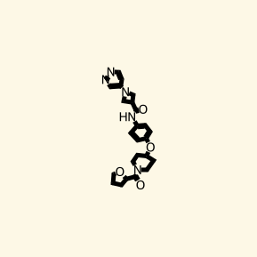 O=C(Nc1ccc(OC2CCN(C(=O)C3CCCO3)CC2)cc1)C1CN(c2ccnnc2)C1